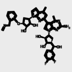 C=NCc1ccccc1O[C@@H]1C[C@H](n2ccc3c(C)cc(-c4cn([C@@H]5C[C@H]([C@@H](O)c6ccc(F)c(F)c6)[C@@H](O)[C@H]5O)c5nc(N)nc(C)c45)nc32)[C@@H](O)[C@H]1O